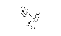 CCCOCC(/N=C\Cc1ccc2ncc(N)cc2c1CCCCNC(=O)C1CCCCN1C(=O)OC(C)(C)C)=N/C